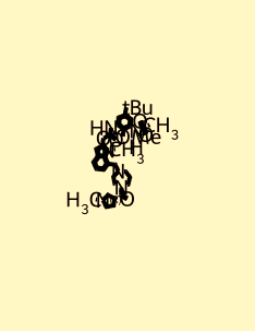 COc1c(NC(=O)Oc2cc3cccc(CN4CCCN(C(=O)[C@@H]5CCN(C)C5)CC4)c3n2C)cc(C(C)(C)C)cc1NS(C)(=O)=O